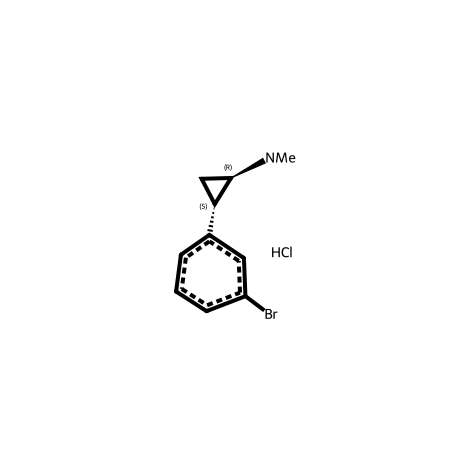 CN[C@@H]1C[C@H]1c1cccc(Br)c1.Cl